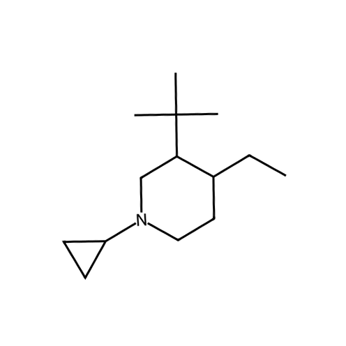 CCC1CCN(C2CC2)CC1C(C)(C)C